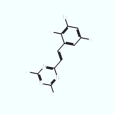 Oc1c(Br)cc(Br)cc1C=Cc1nc(C(Cl)(Cl)Cl)nc(C(Cl)(Cl)Cl)n1